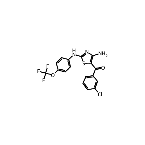 Nc1nc(Nc2ccc(OC(F)(F)F)cc2)sc1C(=O)c1cccc(Cl)c1